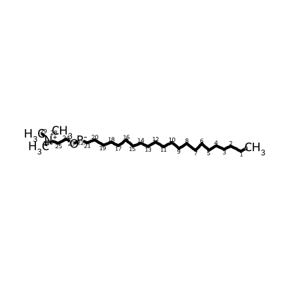 CCCCCCCCCCCCCCCCCCCCCC[P-]OCC[N+](C)(C)C